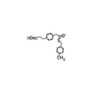 CCCCCCCCCCCCc1ccc(C[S+]([O-])SCc2ccc(C)cc2)cc1